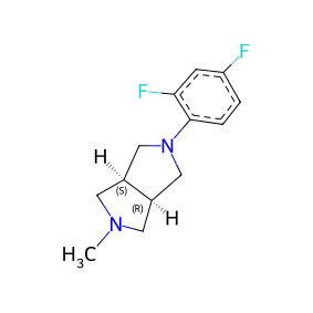 CN1C[C@@H]2CN(c3ccc(F)cc3F)C[C@@H]2C1